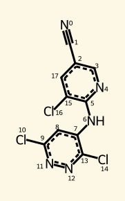 N#Cc1cnc(Nc2cc(Cl)nnc2Cl)c(Cl)c1